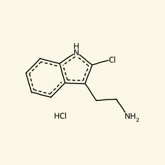 Cl.NCCc1c(Cl)[nH]c2ccccc12